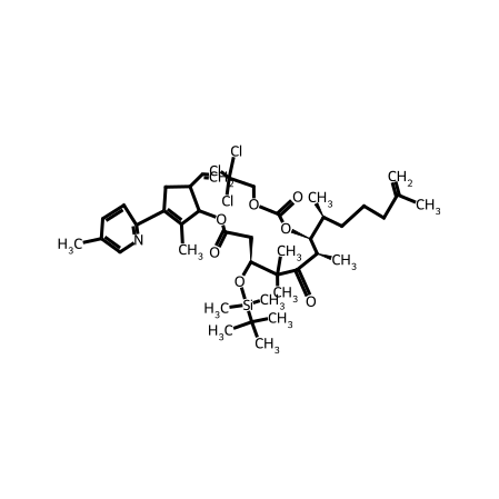 C=CC1CC(c2ccc(C)cn2)=C(C)C1OC(=O)C[C@H](O[Si](C)(C)C(C)(C)C)C(C)(C)C(=O)[C@H](C)[C@@H](OC(=O)OCC(Cl)(Cl)Cl)[C@@H](C)CCCC(=C)C